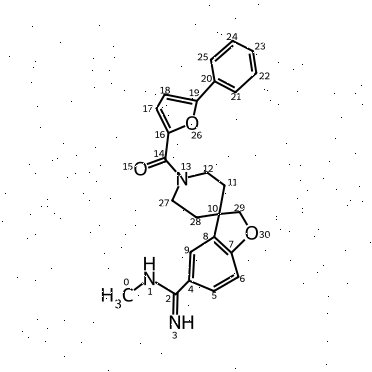 CNC(=N)c1ccc2c(c1)C1(CCN(C(=O)c3ccc(-c4ccccc4)o3)CC1)CO2